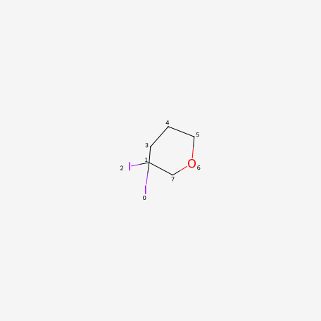 IC1(I)CCCOC1